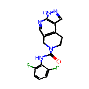 O=C(Nc1c(F)cccc1F)N1CCc2c(cnc3[nH]ncc23)C1